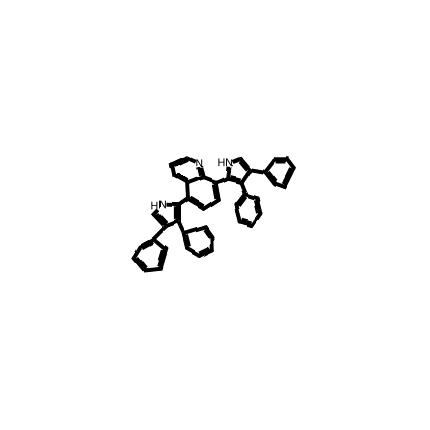 c1ccc(-c2c[nH]c(-c3ccc(-c4[nH]cc(-c5ccccc5)c4-c4ccccc4)c4ncccc34)c2-c2ccccc2)cc1